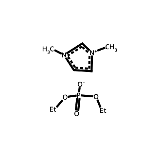 CCOP(=O)([O-])OCC.Cn1cc[n+](C)c1